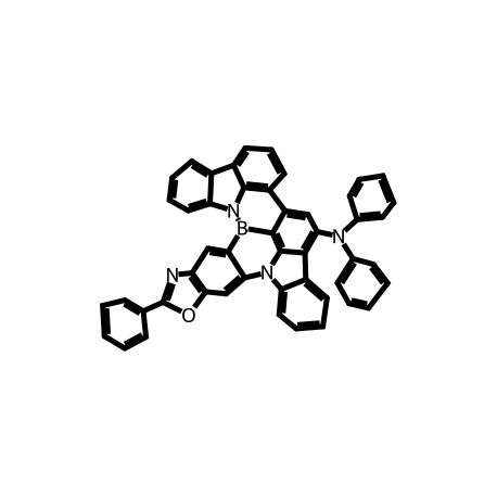 c1ccc(-c2nc3cc4c(cc3o2)-n2c3ccccc3c3c(N(c5ccccc5)c5ccccc5)cc5c(c32)B4n2c3ccccc3c3cccc-5c32)cc1